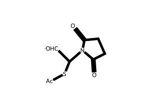 CC(=O)SC([C]=O)N1C(=O)CCC1=O